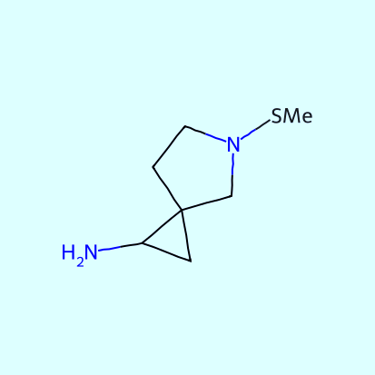 CSN1CCC2(CC2N)C1